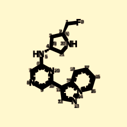 FC[C@@H]1C[C@@H](Nc2cncc(-c3cnn4ccccc34)n2)CN1